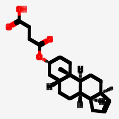 C[C@]12CC[C@@H](OC(=O)CCC(=O)O)C[C@H]1CC[C@@H]1[C@@H]2CC[C@@]2(C)C=CC[C@@H]12